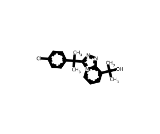 CC(C)(O)c1cccn2c(C(C)(C)c3ccc(Cl)cc3)nnc12